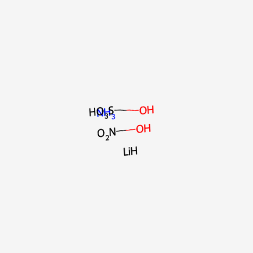 N.O=S(=O)(O)O.O=[N+]([O-])O.[LiH]